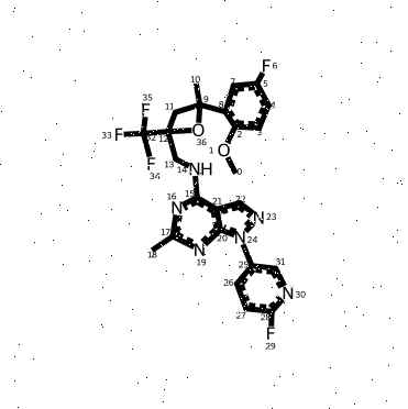 COc1ccc(F)cc1C1(C)CC(CNc2nc(C)nc3c2cnn3-c2ccc(F)nc2)(C(F)(F)F)O1